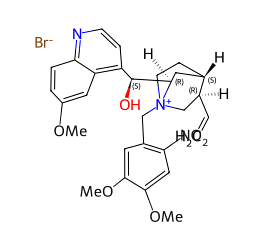 C=C[C@H]1C[N+]2(Cc3cc(OC)c(OC)cc3[N+](=O)[O-])CC[C@H]1C[C@@H]2[C@@H](O)c1ccnc2ccc(OC)cc12.[Br-]